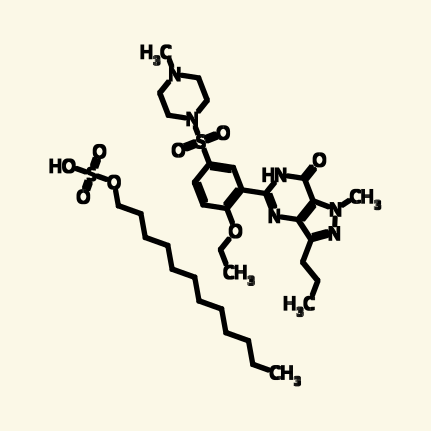 CCCCCCCCCCCCOS(=O)(=O)O.CCCc1nn(C)c2c(=O)[nH]c(-c3cc(S(=O)(=O)N4CCN(C)CC4)ccc3OCC)nc12